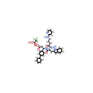 O=C(O)C(F)(F)F.O=C(O)CC(NC(=O)C(Cc1cc2ccccc2[nH]1)NC(=O)CCCNc1ccccn1)c1ccc(-c2ccccc2)cc1